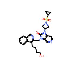 O=c1n(Cc2ncc3ccccc3c2CCCCO)c2cnccc2n1C1CN(S(=O)(=O)C2CC2)C1